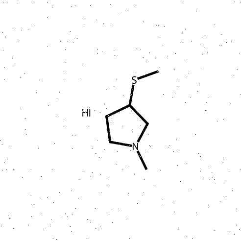 CSC1CCN(C)C1.I